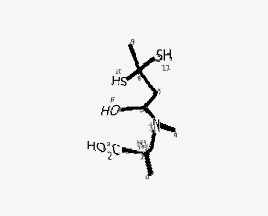 C[C@@H](C(=O)O)N(C)C(O)CC(C)(S)S